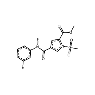 COC(=O)c1cc(C(=O)N(F)c2cccc(F)c2)cn1S(C)(=O)=O